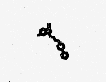 Cc1ccc2[nH]cc(CCCCN3CCC(c4ccccc4)CC3)c2c1